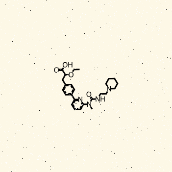 CCOC(Cc1ccc(-c2cccc(N(C)C(=O)NCCN3CCCCC3)n2)cc1)C(=O)O